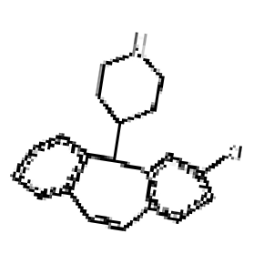 Clc1ccc2c(c1)C(C1CCNCC1)c1ccccc1C=C2